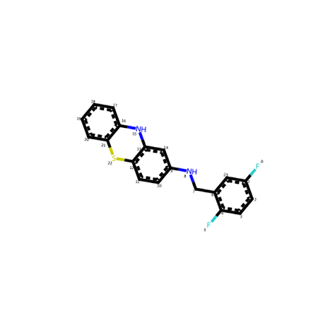 Fc1ccc(F)c(CNc2ccc3c(c2)Nc2ccccc2S3)c1